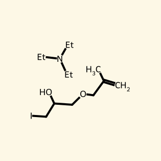 C=C(C)COCC(O)CI.CCN(CC)CC